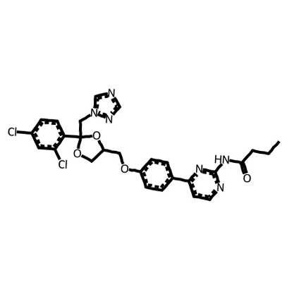 CCCC(=O)Nc1nccc(-c2ccc(OCC3COC(Cn4cncn4)(c4ccc(Cl)cc4Cl)O3)cc2)n1